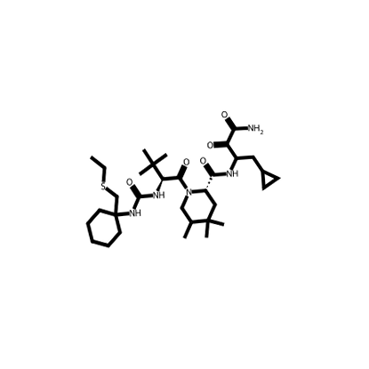 CCSCC1(NC(=O)N[C@H](C(=O)N2CC(C)C(C)(C)C[C@H]2C(=O)NC(CC2CC2)C(=O)C(N)=O)C(C)(C)C)CCCCC1